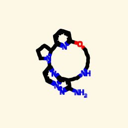 Nc1nn2ccc3nc2c1CNCCCOc1cccc(n1)C1CCCN31